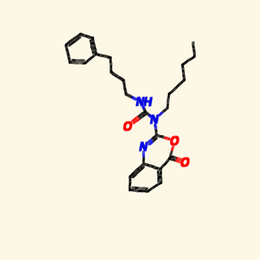 CCCCCCN(C(=O)NCCCCc1ccccc1)c1nc2ccccc2c(=O)o1